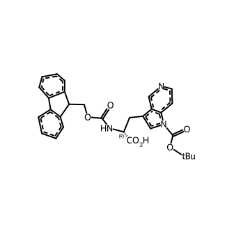 CC(C)(C)OC(=O)n1cc(C[C@@H](NC(=O)OCC2c3ccccc3-c3ccccc32)C(=O)O)c2cnccc21